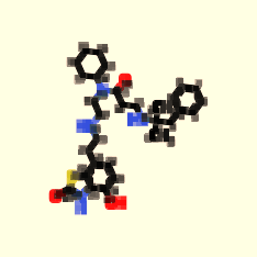 CC(C)(Cc1ccccc1)NCCC(=O)N(CCNCCc1ccc(O)c2[nH]c(=O)sc12)C1CCCCC1